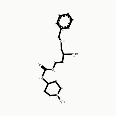 CN1CCC(OC(=O)OCCC(C=O)COCc2ccccc2)CC1